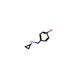 Brc1ccc(CNC2CC2)cc1